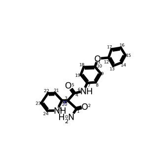 NC(=O)/C(C(=O)Nc1ccc(Oc2ccccc2)cc1)=C1/C=CC=CN1